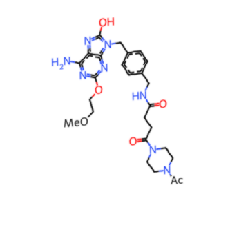 COCCOc1nc(N)c2nc(O)n(Cc3ccc(CNC(=O)CCC(=O)N4CCN(C(C)=O)CC4)cc3)c2n1